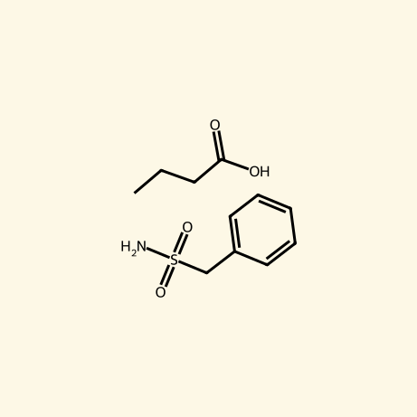 CCCC(=O)O.NS(=O)(=O)Cc1ccccc1